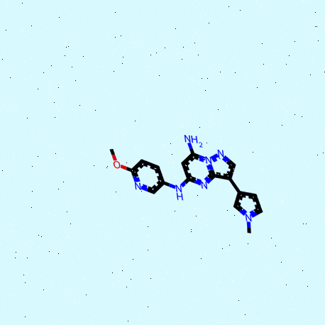 COc1ccc(Nc2cc(N)n3ncc(-c4ccn(C)c4)c3n2)cn1